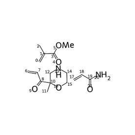 C=C(C)C(=O)OC.C=CC(=O)C1(C)CNCCO1.C=CC(N)=O